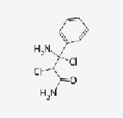 NC(=O)C(Cl)C(N)(Cl)c1ccccc1